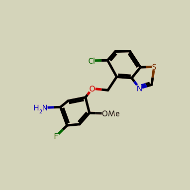 COc1cc(F)c(N)cc1OCc1c(Cl)ccc2scnc12